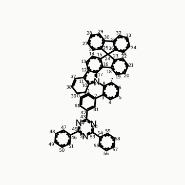 C1=C=C(c2ccccc2-n2c3c(c4ccc5c(c42)-c2ccccc2C52c4ccccc4-c4ccccc42)C=CCC3)C=C(c2nc(-c3ccccc3)nc(-c3ccccc3)n2)C=1